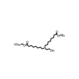 CCCCCCCCCCCOC(=O)CCCCCCCN(CCO)CCCCCCCC(=O)OC(C)(C)C